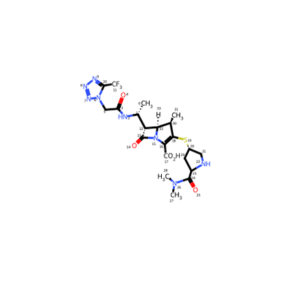 C[C@@H](NC(=O)Cn1nnnc1C(F)(F)F)[C@H]1C(=O)N2C(C(=O)O)=C(S[C@@H]3CNC(C(=O)N(C)C)C3)[C@H](C)[C@H]12